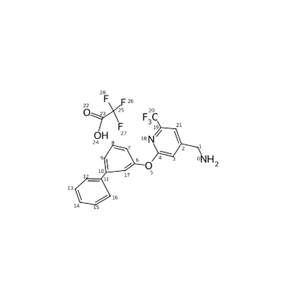 NCc1cc(Oc2cccc(-c3ccccc3)c2)nc(C(F)(F)F)c1.O=C(O)C(F)(F)F